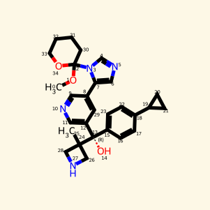 COC1(n2cncc2-c2cncc([C@@](O)(c3ccc(C4CC4)cc3)C3(C)CNC3)c2)CCCCO1